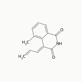 C=C/C=C1/C(=O)NC(=O)c2cccc(C)c21